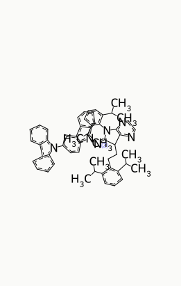 CC(C)c1cccc(C(C)C)c1CCC1/C(=N/n2c3ccccc3c3cc(-n4c5ccccc5c5ccccc54)ccc32)N(c2c(C(C)C)cccc2C(C)C)c2nccnc21